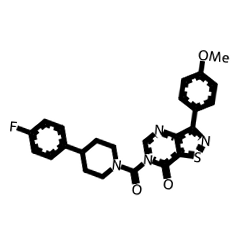 COc1ccc(-c2nsc3c(=O)n(C(=O)N4CCC(c5ccc(F)cc5)CC4)cnc23)cc1